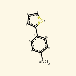 O=[N+]([O-])c1ccc(-c2cccs2)cc1